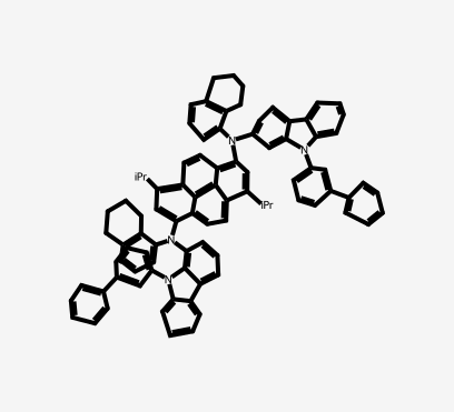 CC(C)c1cc(N(c2ccc3c4ccccc4n(-c4cccc(-c5ccccc5)c4)c3c2)c2cccc3c2CCCC3)c2ccc3c(C(C)C)cc(N(c4cccc5c4CCCC5)c4cccc5c6ccccc6n(-c6cccc(-c7ccccc7)c6)c45)c4ccc1c2c34